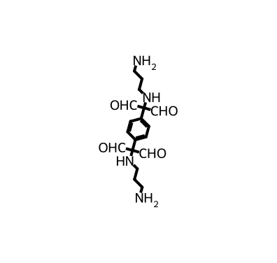 NCCCNC(C=O)(C=O)c1ccc(C(C=O)(C=O)NCCCN)cc1